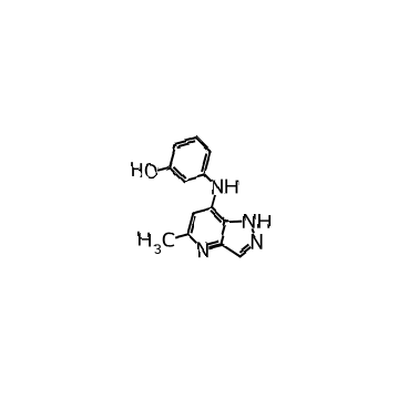 Cc1cc(Nc2cccc(O)c2)c2[nH]ncc2n1